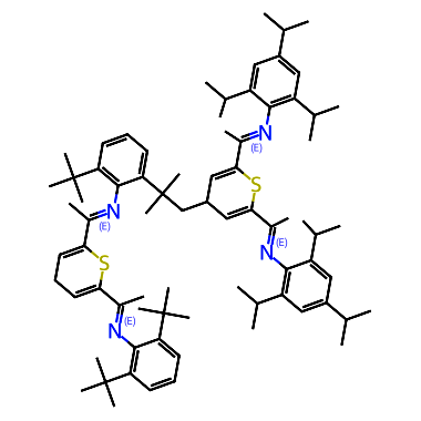 C/C(=N\c1c(C(C)C)cc(C(C)C)cc1C(C)C)C1=CC(CC(C)(C)c2cccc(C(C)(C)C)c2/N=C(\C)C2=CCC=C(/C(C)=N/c3c(C(C)(C)C)cccc3C(C)(C)C)S2)C=C(/C(C)=N/c2c(C(C)C)cc(C(C)C)cc2C(C)C)S1